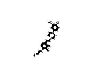 COCCOc1ccc(CCN2CCN(c3ccc(Cl)c(OC)c3)CC2)c(C)c1C